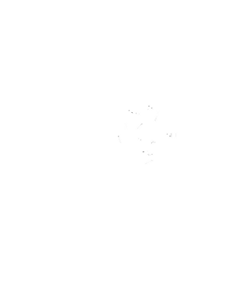 CCCC(=O)[C@@]1(C)CCNC[C@H]1Nc1c(C(=O)OCCOC)cnc2[nH]ccc12